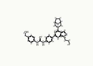 O=C(Nc1ccc(CO)cc1)Nc1ccc(-c2nc(N3CC4CCC(C3)O4)c3cnn(CCF)c3n2)cc1